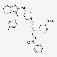 COc1cccc(C(CCN2CCC(Nc3nc4ccccc4n3Cc3ccc(F)cc3)CC2)CN(C)C(=O)c2ccccc2)c1